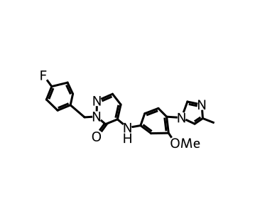 COc1cc(Nc2ccnn(Cc3ccc(F)cc3)c2=O)ccc1-n1cnc(C)c1